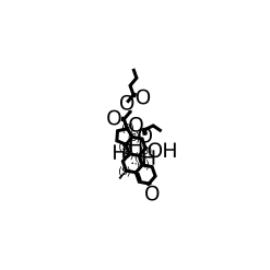 CCCC(=O)OCC(=O)[C@@]1(OC(=O)CC)CC[C@H]2[C@@H]3C[C@H](C)C4=CC(=O)CC[C@]4(C)[C@H]3[C@@H](O)C[C@@]21C